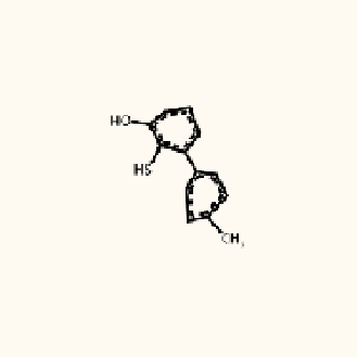 Cc1ccc(-c2cccc(O)c2S)cc1